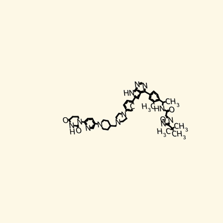 Cc1cc(-c2ncnc3[nH]c(-c4ccc(N5CCN(CC6CCN(c7ccc(N8CCC(=O)NC8=O)nc7)CC6)CC5)cc4)cc23)ccc1C(C)NC(=O)c1nc(C(C)(C)C)no1